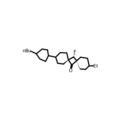 CCCCC1CCC(C2CC[C@]3(CC2)C(=O)[C@@]2(CCC(CC)CC2)[C@H]3F)CC1